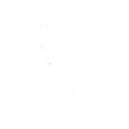 O=C(N[C@H](CO)C(F)(F)F)O[C@H]1C[C@H](c2c(-c3ccc(F)cc3)[nH]c3c(F)cc(F)cc32)C1